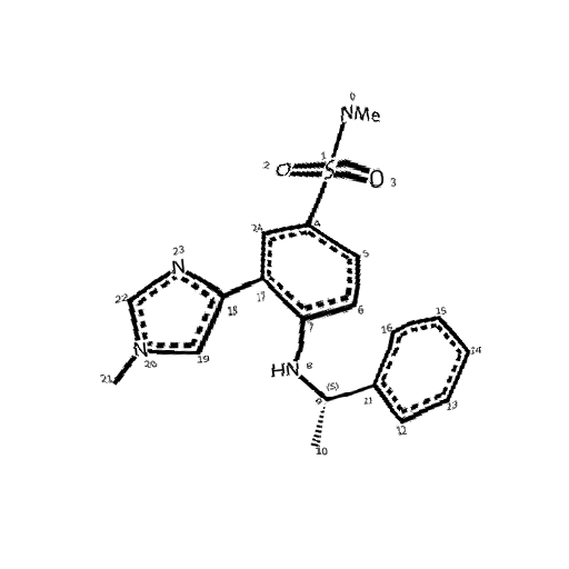 CNS(=O)(=O)c1ccc(N[C@@H](C)c2ccccc2)c(-c2cn(C)cn2)c1